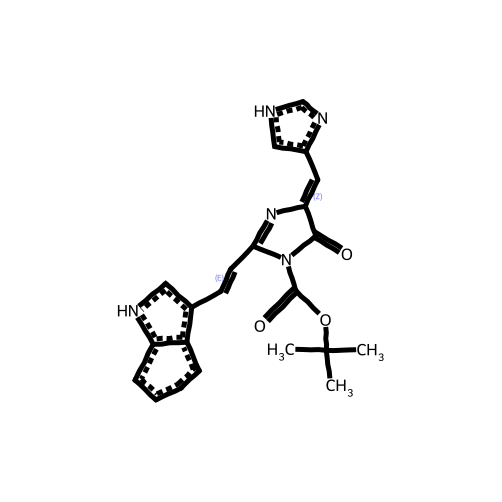 CC(C)(C)OC(=O)N1C(=O)/C(=C/c2c[nH]cn2)N=C1/C=C/c1c[nH]c2ccccc12